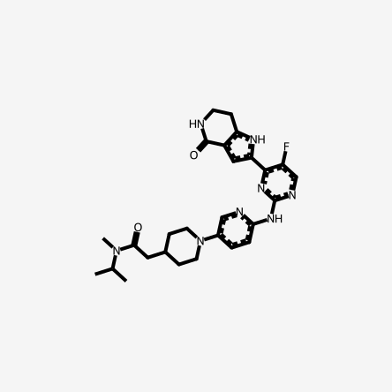 CC(C)N(C)C(=O)CC1CCN(c2ccc(Nc3ncc(F)c(-c4cc5c([nH]4)CCNC5=O)n3)nc2)CC1